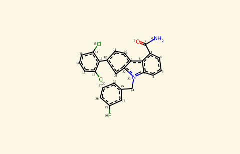 NC(=O)c1cccc2c1c1[c]cc(-c3c(Cl)cccc3Cl)cc1n2Cc1cccc(F)c1